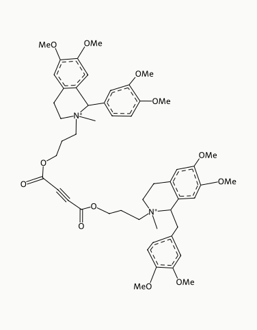 COc1ccc(CC2c3cc(OC)c(OC)cc3CC[N+]2(C)CCCOC(=O)C#CC(=O)OCCC[N+]2(C)CCc3cc(OC)c(OC)cc3C2c2ccc(OC)c(OC)c2)cc1OC